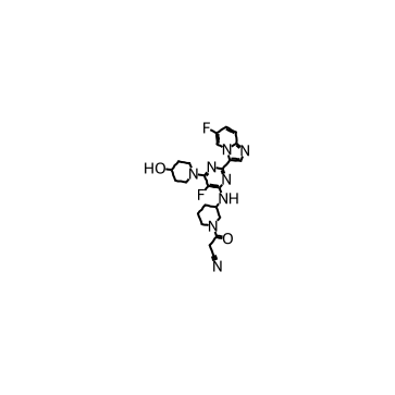 N#CCC(=O)N1CCCC(Nc2nc(-c3cnc4ccc(F)cn34)nc(N3CCC(O)CC3)c2F)C1